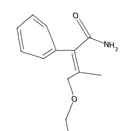 CCOCC(C)=C(C(N)=O)c1ccccc1